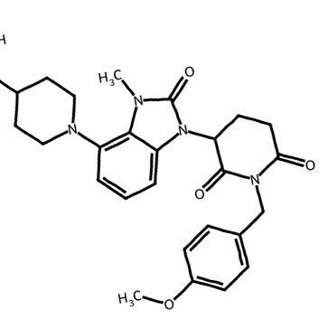 COc1ccc(CN2C(=O)CCC(n3c(=O)n(C)c4c(N5CCC(CO)CC5)cccc43)C2=O)cc1